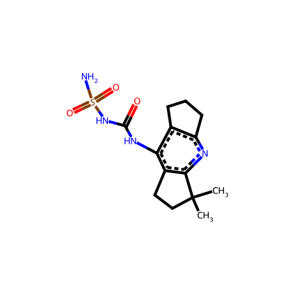 CC1(C)CCc2c1nc1c(c2NC(=O)NS(N)(=O)=O)CCC1